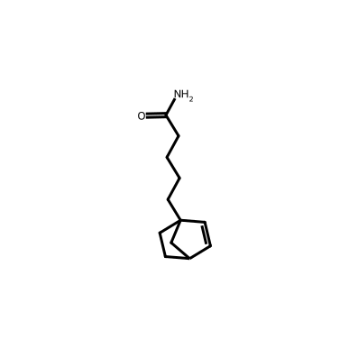 NC(=O)CCCCC12C=CC(CC1)C2